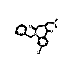 CN(C)C=C1CC(=O)N(Cc2ccccc2)c2cc(Cl)ccc2C1=O